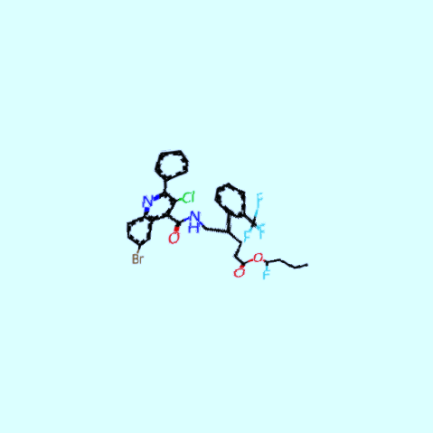 CCCC(F)OC(=O)CCC(CNC(=O)c1c(Cl)c(-c2ccccc2)nc2ccc(Br)cc12)c1ccccc1C(F)(F)F